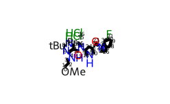 COCCCNc1nc(C(C)(C)C)ncc1C(=O)N(CC(C)C)[C@@H]1CNC[C@H](C(=O)N2CCc3ccc(F)cc32)C1.Cl.Cl